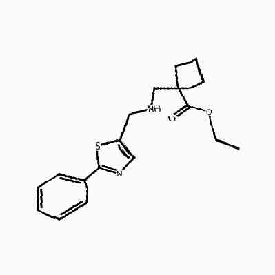 CCOC(=O)C1(CNCc2cnc(-c3ccccc3)s2)CCC1